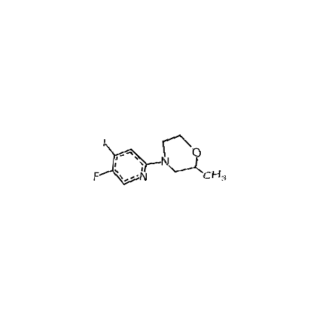 CC1CN(c2cc(I)c(F)cn2)CCO1